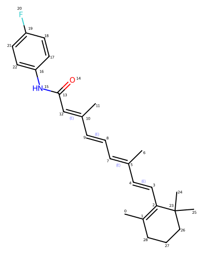 CC1=C(/C=C/C(C)=C/C=C/C(C)=C/C(=O)Nc2ccc(F)cc2)C(C)(C)CCC1